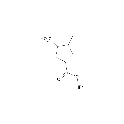 CC(C)OC(=O)C1CC(C)C(C(=O)O)C1